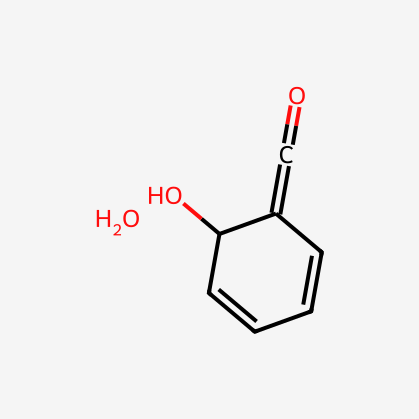 O.O=C=C1C=CC=CC1O